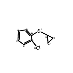 Clc1c[c]ccc1SC1CC1